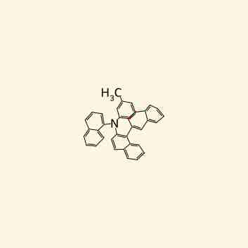 Cc1cccc(N(c2ccc3ccccc3c2-c2ccc3ccccc3c2)c2cccc3ccccc23)c1